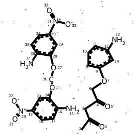 CC(=O)CC(=O)COc1cccc(N)c1.Nc1ccc([N+](=O)[O-])cc1OCOc1cc([N+](=O)[O-])ccc1N